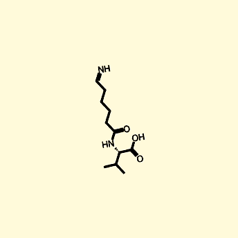 CC(C)[C@H](NC(=O)CCCCC=N)C(=O)O